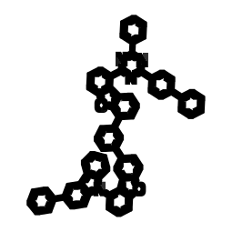 c1ccc(-c2ccc(-c3nc(-c4ccccc4)nc(-c4cccc5oc6c(-c7cccc(-c8ccc9oc%10cccc(-n%11c%12ccccc%12c%12cc(-c%13ccccc%13)ccc%12%11)c%10c9c8)c7)cccc6c45)n3)cc2)cc1